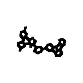 Cc1ccc2c3ccc(C)cc3c3nc(-c4cccc(-c5ccc6c(c5)c5cccc7c8ccccc8n6c75)c4)cnc3c2c1